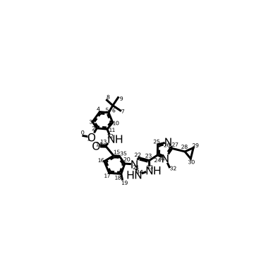 COc1ccc(C(C)(C)C)cc1NC(=O)c1ccc(C)c(N2C=C(c3cnc(C4CC4)n3C)NN2)c1